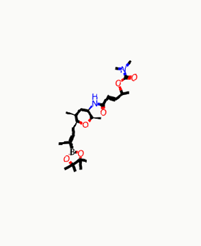 C/C(=C\C[C@@H]1O[C@H](C)[C@H](NC(=O)C=CC(C)OC(=O)N(C)C)C[C@@H]1C)B1OC(C)(C)C(C)(C)O1